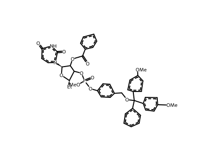 CC[C@H]1O[C@@H](n2ccc(=O)[nH]c2=O)C(OC(=O)c2ccccc2)C1OP(=O)(OC)Oc1ccc(COC(c2ccccc2)(c2ccc(OC)cc2)c2ccc(OC)cc2)cc1